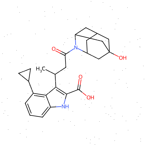 CC(CC(=O)N1C2CC3CC1CC(O)(C3)C2)c1c(C(=O)O)[nH]c2cccc(C3CC3)c12